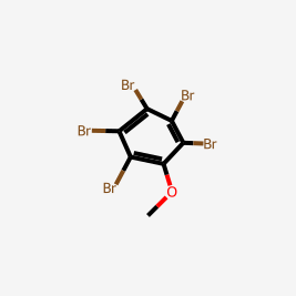 COc1c(Br)c(Br)c(Br)c(Br)c1Br